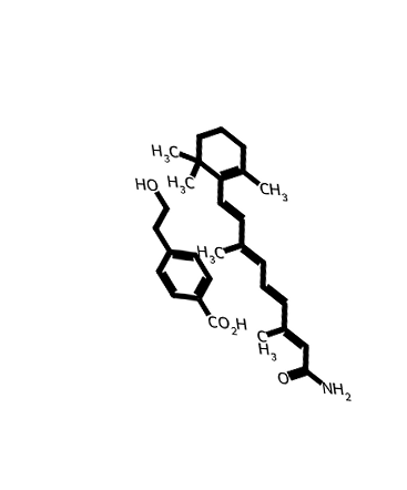 CC1=C(/C=C/C(C)=C/C=C/C(C)=C/C(N)=O)C(C)(C)CCC1.O=C(O)c1ccc(CCO)cc1